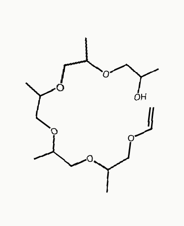 C=COCC(C)OCC(C)OCC(C)OCC(C)OCC(C)O